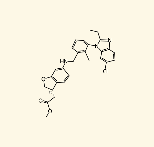 CCc1nc2ccc(Cl)cc2n1-c1cccc(CNc2ccc3c(c2)OC[C@H]3CC(=O)OC)c1C